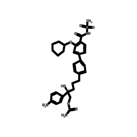 CS(=O)(=O)NC(=O)c1ccc(-c2ccc(CCC[C@](O)(COC(N)=O)c3ccc([N+](=O)[O-])cc3)cc2)cc1OC1CCCCC1